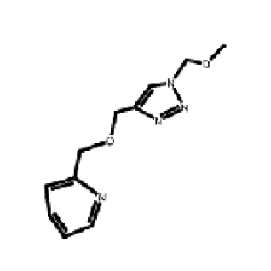 COCn1cc(COCc2ccccn2)nn1